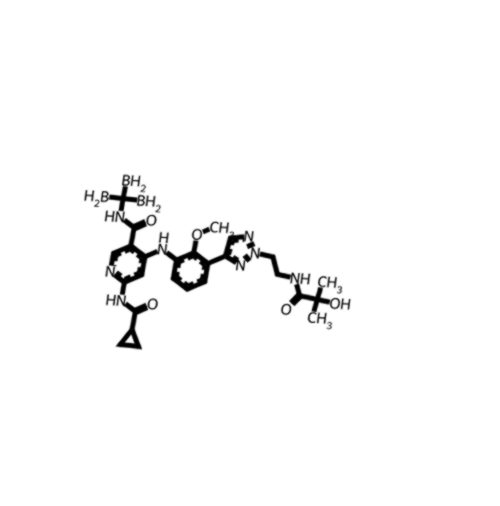 BC(B)(B)NC(=O)c1cnc(NC(=O)C2CC2)cc1Nc1cccc(-c2cnn(CCNC(=O)C(C)(C)O)n2)c1OC